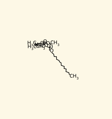 CCCCCCCCCCCCCCCCOCC(COP(=O)(O)OCC[N+](C)(C)C)OC(C)=O